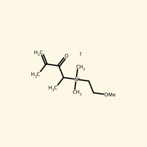 C=C(C)C(=O)C(C)[N+](C)(C)CCOC.[I-]